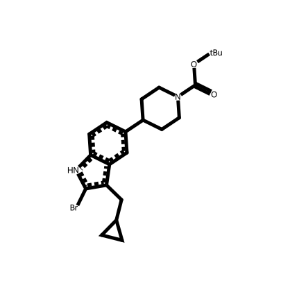 CC(C)(C)OC(=O)N1CCC(c2ccc3[nH]c(Br)c(CC4CC4)c3c2)CC1